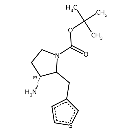 CC(C)(C)OC(=O)N1CC[C@@H](N)C1Cc1ccsc1